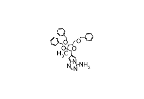 C[C@]1(OCc2ccccc2)[C@H](OCc2ccccc2)[C@@H](COCc2ccccc2)O[C@H]1c1cc2ncnc(N)n2c1